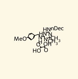 CCCCCCCCCCNC1=NC(C)(C)N=C(NCc2ccc(OC)cc2)N1.O=C(O)C(=O)O